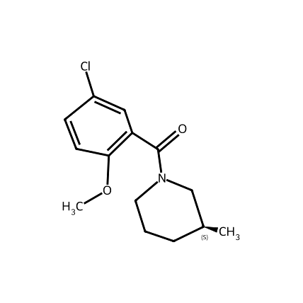 COc1ccc(Cl)cc1C(=O)N1CCC[C@H](C)C1